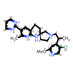 COc1cc(C(C)CN2CC[C@@]3(CCc4cc(-c5ncccn5)c(C)nc4N3)C2)c(Cl)cn1